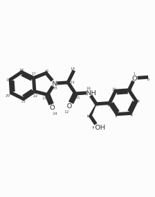 COc1cccc([C@@H](CO)NC(=O)C(C)N2Cc3ccccc3C2=O)c1